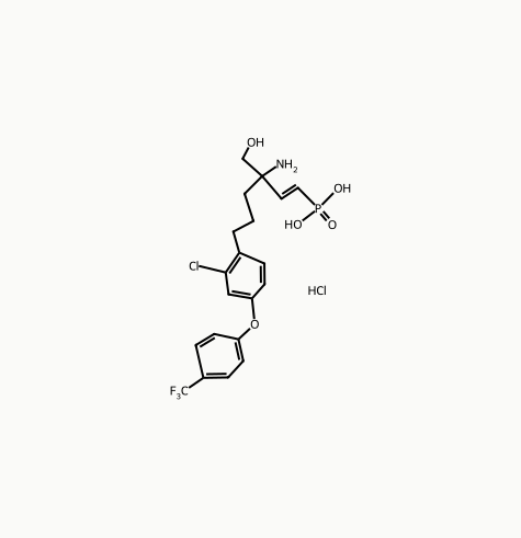 Cl.NC(C=CP(=O)(O)O)(CO)CCCc1ccc(Oc2ccc(C(F)(F)F)cc2)cc1Cl